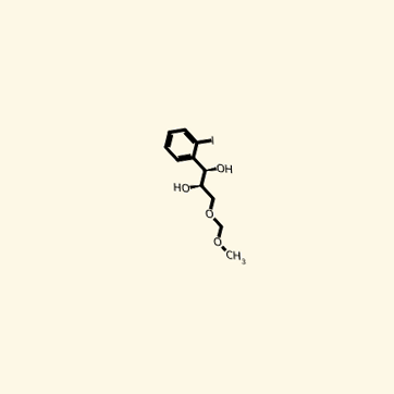 COCOC[C@@H](O)[C@H](O)c1ccccc1I